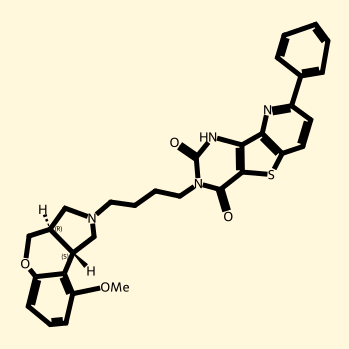 COc1cccc2c1[C@H]1CN(CCCCn3c(=O)[nH]c4c(sc5ccc(-c6ccccc6)nc54)c3=O)C[C@@H]1CO2